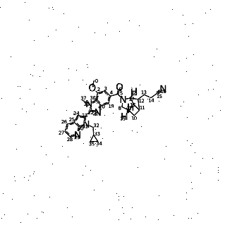 COc1cc(C(=O)N2C[C@H]3CC4C(CCC#N)[C@@H]2[C@H]43)cc2nc(-c3cc4cccnc4n3CC3CC3)n(C)c12